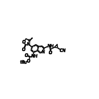 C[C@@H]1COC(=O)N1c1cc(NC(=O)OC(C)(C)C)c2cnc(NC(=O)C3CC3C#N)cc2c1